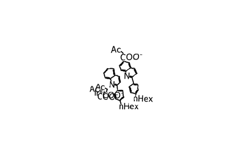 CC(=O)CC(=O)[O-].CC(=O)CC(=O)[O-].CC(=O)CC(=O)[O-].CCCCCCc1ccc(-c2ccc3ccccc3n2)cc1.CCCCCCc1ccc(-c2ccc3ccccc3n2)cc1.[Ir+3]